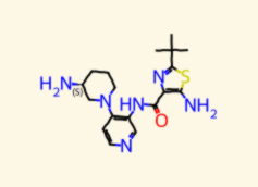 CC(C)(C)c1nc(C(=O)Nc2cnccc2N2CCC[C@H](N)C2)c(N)s1